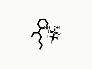 CCCCC(CC)C1CCCCN1.O=S(=O)(O)C(F)(F)F